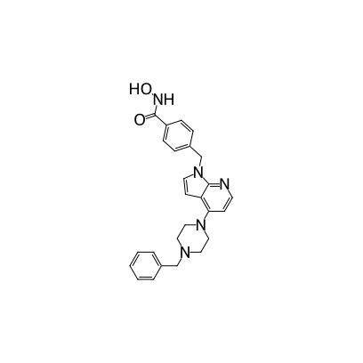 O=C(NO)c1ccc(Cn2ccc3c(N4CCN(Cc5ccccc5)CC4)ccnc32)cc1